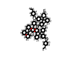 C=Cc1ccc(Oc2ccc(C3(c4ccc(F)cc4)c4ccccc4-c4ccc(N(c5ccc6c(c5)C(c5ccc(Oc7ccc(C=C)cc7)cc5)(C5C=CC(F)=CC5)c5ccccc5-6)c5ccccc5-c5ccc6c(c5)C5(c7ccccc7O6)c6ccccc6-c6ccccc65)cc43)cc2)cc1